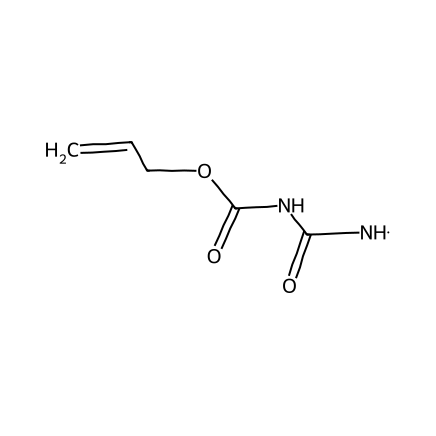 C=CCOC(=O)NC([NH])=O